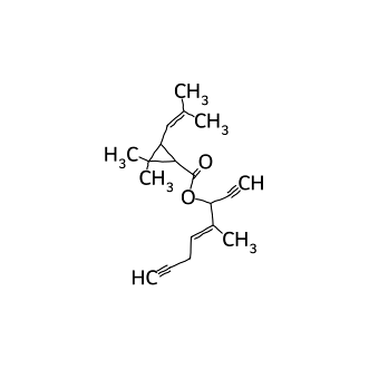 C#CCC=C(C)C(C#C)OC(=O)C1C(C=C(C)C)C1(C)C